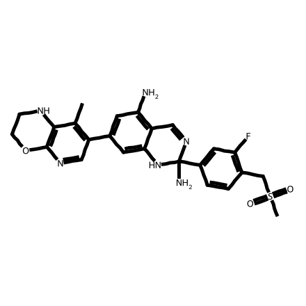 Cc1c(-c2cc(N)c3c(c2)NC(N)(c2ccc(CS(C)(=O)=O)c(F)c2)N=C3)cnc2c1NCCO2